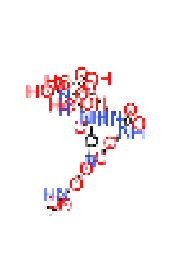 CC(C)(C)OC(=O)NCCOCCOCCOCCOCCNc1c(NCCCCCCO[C@]2(C(=O)O)C[C@H](O)[C@@H](NC(=O)CO)[C@H]([C@H](O)[C@H](O)CNC(=O)Cc3ccc(C#N)cc3)O2)c(=O)c1=O